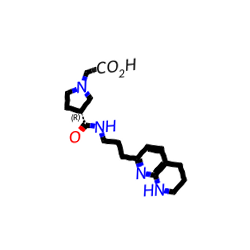 O=C(O)CN1CC[C@@H](C(=O)NCCCc2ccc3c(n2)NCCC3)C1